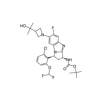 CC(C)(C)OC(=O)N[C@H]1C[C@@H](c2c(Cl)cccc2OC(F)F)n2c1nc1cc(F)c(N3CC(C(C)(C)O)C3)cc12